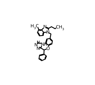 CCCc1nc2c(C)cccc2n1Cc1ccc(OC(c2ccccc2)c2nnn[nH]2)cc1